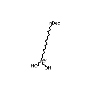 CCCCCCCCCCCCCCCCCCCCCCCCCC[N+]([O-])(CCO)CCO